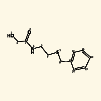 O=C(CO)NCCSCc1ccccc1